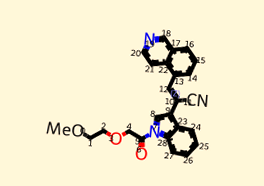 COCCOCC(=O)n1cc(/C(C#N)=C/c2cccc3cnccc23)c2ccccc21